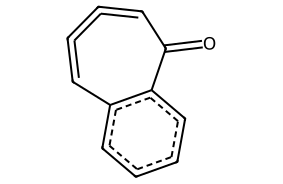 O=C1C=C=C=Cc2ccccc21